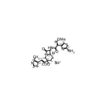 CON=C(C(=O)NC1C(=O)N2CC(C=Cc3scnc3C)(C(=O)[O-])CS[C@H]12)c1csc(N)n1.[Na+]